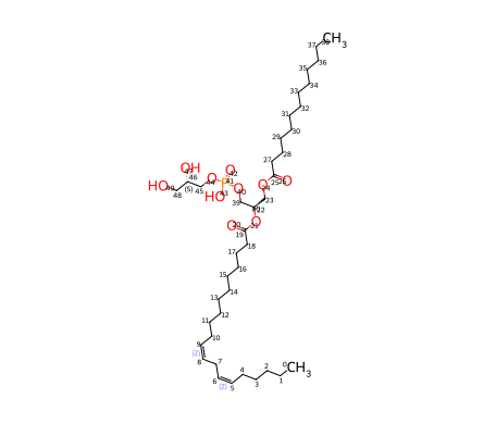 CCCCC/C=C\C/C=C\CCCCCCCCCC(=O)O[C@H](COC(=O)CCCCCCCCCCCC)COP(=O)(O)OC[C@@H](O)CO